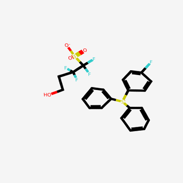 Fc1ccc([S+](c2ccccc2)c2ccccc2)cc1.O=S(=O)([O-])C(F)(F)C(F)(F)CCO